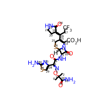 CC(C)(ON=C(C(=O)N[C@@H]1C(=O)N2C(C(=O)O)=C(C(CC(F)(F)F)=C3CCNC3=O)CS[C@H]12)c1csc(N)n1)C(N)=O